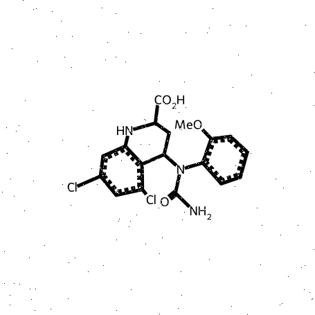 COc1ccccc1N(C(N)=O)C1CC(C(=O)O)Nc2cc(Cl)cc(Cl)c21